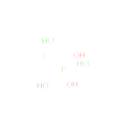 Cl.Cl.OP(O)(O)=S